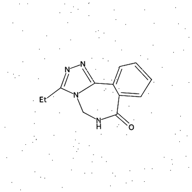 CCc1nnc2n1CNC(=O)c1ccccc1-2